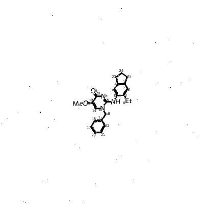 CCc1cc2c(cc1Nc1nc(=O)c(OC)cn1Cc1ccccc1)CCC2